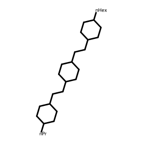 CCCCCCC1CCC(CCC2CCC(CCC3CCC(CCC)CC3)CC2)CC1